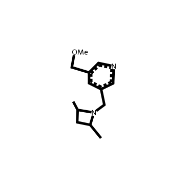 COCc1cncc(CN2C(C)CC2C)c1